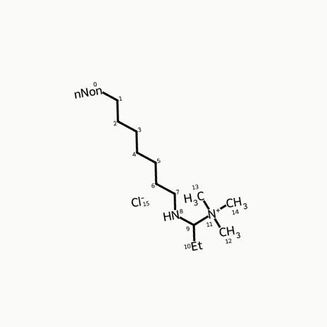 CCCCCCCCCCCCCCCCNC(CC)[N+](C)(C)C.[Cl-]